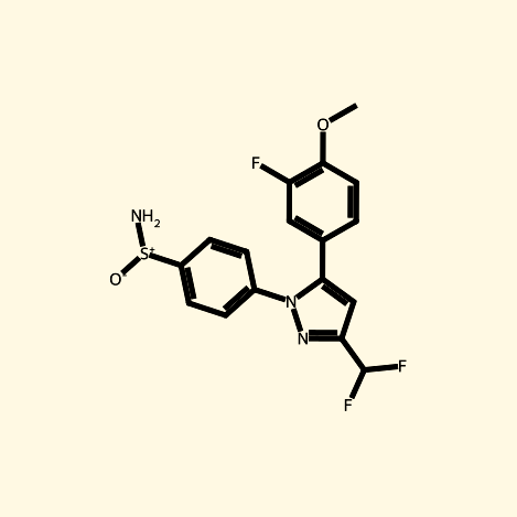 COc1ccc(-c2cc(C(F)F)nn2-c2ccc([S+](N)[O-])cc2)cc1F